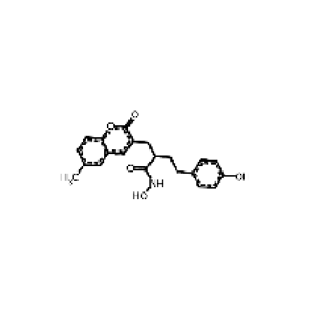 Cc1ccc2oc(=O)c(CC(CCc3ccc(O)cc3)C(=O)NO)cc2c1